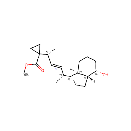 CCCCOC(=O)C1([C@H](C)/C=C/[C@@H](C)[C@H]2CC[C@H]3[C@@H](O)CCC[C@]23C)CC1